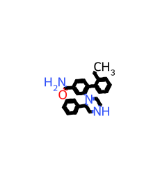 CCc1ccccc1-c1ccc(C(N)=O)cc1N1CCNCC1c1ccccc1